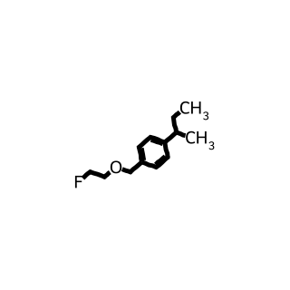 CCC(C)c1ccc(COCCF)cc1